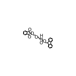 O=C(NCCOCCON1C(=O)c2ccccc2C1=O)OCC1c2ccccc2-c2ccccc21